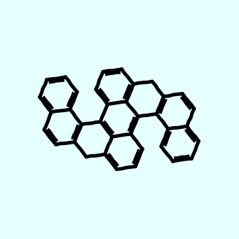 c1ccc2c3c(ccc2c1)Cc1cccc2c4c5c(cccc5c-3c12)Cc1ccc2ccccc2c1-4